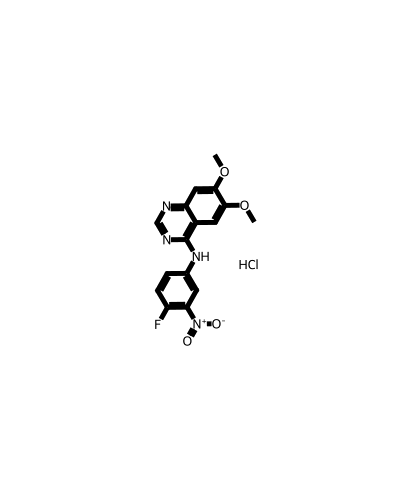 COc1cc2ncnc(Nc3ccc(F)c([N+](=O)[O-])c3)c2cc1OC.Cl